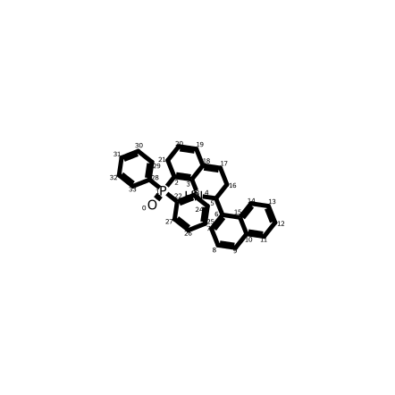 O=P(C1=C2NC(c3cccc4ccccc34)CC=C2C=CC1)(c1ccccc1)c1ccccc1